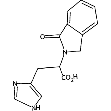 O=C(O)C(Cc1c[nH]cn1)N1Cc2ccccc2C1=O